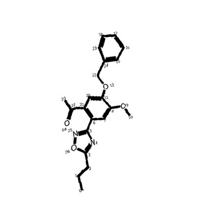 CCCc1nc(-c2cc(OC)c(OCc3ccccc3)cc2C(C)=O)no1